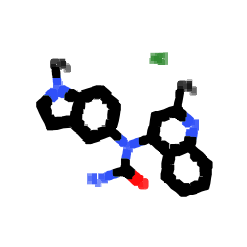 Cc1cc(N(C(N)=O)c2ccc3c(ccn3C)c2)c2ccccc2n1.Cl